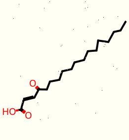 CCCCCCCCCCCCCCC(=O)C=CC(=O)O